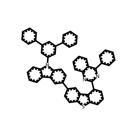 c1ccc(-c2cc(-c3ccccc3)cc(-n3c4ccccc4c4cc(-c5ccc6sc7cccc(-c8nc(-c9ccccc9)c9ccccc9n8)c7c6c5)ccc43)c2)cc1